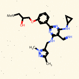 CNCC(O)COc1cccc(-c2nc(NCc3cc(C)nn3C)c(C=N)c(NC3CC3)n2)c1